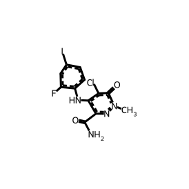 Cn1nc(C(N)=O)c(Nc2ccc(I)cc2F)c(Cl)c1=O